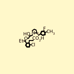 CC[C@@H](OC[C@H](O)CN1CCC[C@H]1Cc1ccc(C)c(F)c1)c1cccc(Cl)c1CCC(=O)O